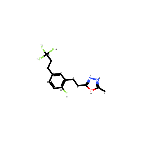 Cc1nnc(C[CH]c2cc(CCC(F)(F)F)ccc2F)o1